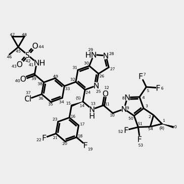 C[C@@H]1C2c3c(C(F)F)nn(CC(=O)N[C@@H](Cc4cc(F)cc(F)c4)c4nc5cn[nH]c5cc4-c4ccc(Cl)c(C(=O)NS(=O)(=O)C5(C)CC5)c4)c3C(F)(F)C21